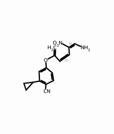 C=C(/C=C\C(=C/N)[N+](=O)[O-])Oc1ccc(C#N)c(C2CC2)c1